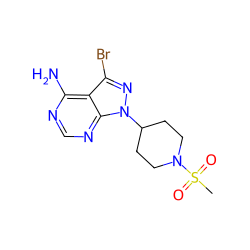 CS(=O)(=O)N1CCC(n2nc(Br)c3c(N)ncnc32)CC1